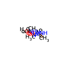 Cc1cc2c(s1)Nc1ccccc1N=C2N1CC[N+](C)(COC(=O)N[C@H](C(=O)OCc2ccccc2)C(C)C)CC1